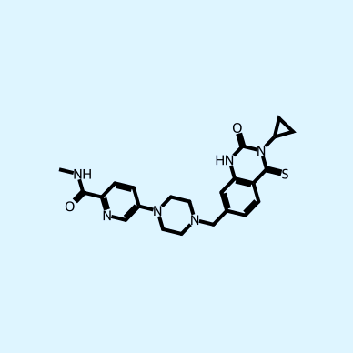 CNC(=O)c1ccc(N2CCN(Cc3ccc4c(=S)n(C5CC5)c(=O)[nH]c4c3)CC2)cn1